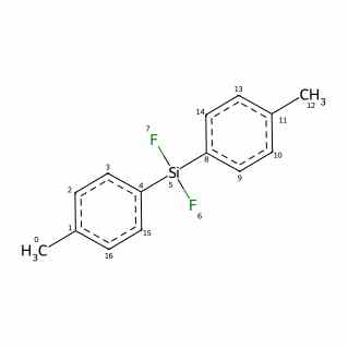 Cc1ccc([Si](F)(F)c2ccc(C)cc2)cc1